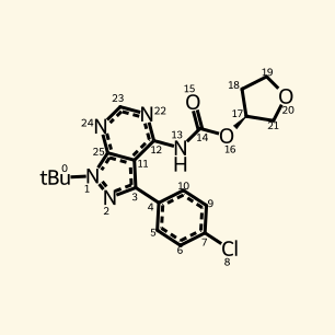 CC(C)(C)n1nc(-c2ccc(Cl)cc2)c2c(NC(=O)O[C@H]3CCOC3)ncnc21